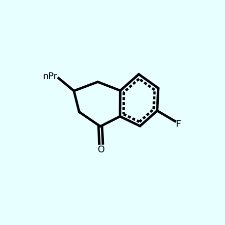 CCCC1CC(=O)c2cc(F)ccc2C1